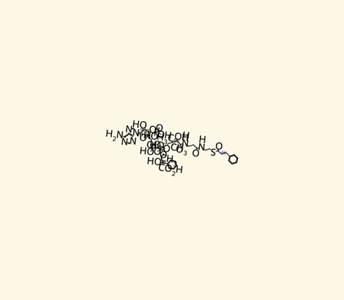 CC(C)(COP(=O)(O)OP(=O)(O)OC[C@H]1O[C@@H](n2cnc3c(N)ncnc32)[C@H](O)[C@@H]1OP(=O)(O)O)[C@@H](O)C(=O)NCCC(=O)NCCSC(=O)/C=C/c1ccccc1.C[C@](O)(C(=O)O)c1ccccc1